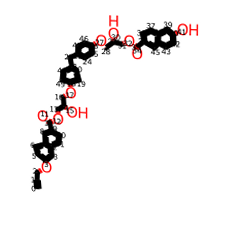 C#CCOc1ccc2cc(C(=O)OCC(O)COc3ccc(Cc4ccc(OCC(O)COC(=O)c5ccc6cc(O)ccc6c5)cc4)cc3)ccc2c1